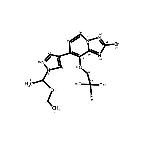 CCOC(C)n1cc(-c2ccn3nc(Br)nc3c2OCC(F)(F)F)cn1